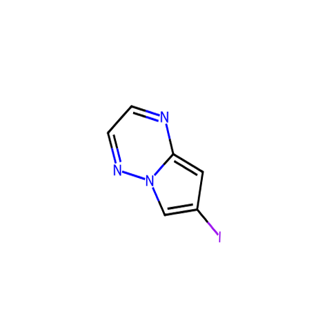 Ic1cc2nccnn2c1